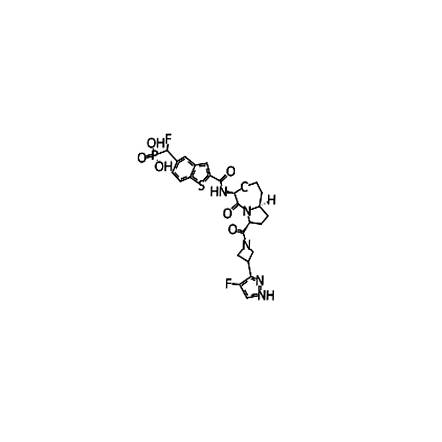 O=C(N[C@H]1CCC[C@H]2CC[C@@H](C(=O)N3CC(c4n[nH]cc4F)C3)N2C1=O)c1cc2cc(C(F)P(=O)(O)O)ccc2s1